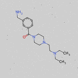 CCN(CC)CCN1CCN(C(=O)c2cccc(CN)c2)CC1